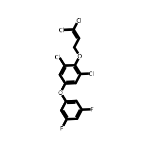 Fc1cc(F)cc(Oc2cc(Cl)c(OCC=C(Cl)Cl)c(Cl)c2)c1